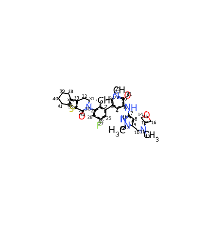 [CH2]c1c(-c2cc(Nc3cc(CN(C)C4COC4)n(C)n3)c(=O)n(C)c2)cc(F)cc1N1CCc2c(sc3c2CCCC3)C1=O